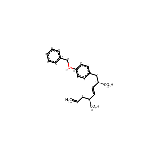 C=CC[C@@H](/C=C/[C@H](Cc1ccc(OCc2ccccc2)cc1)C(=O)O)C(=O)O